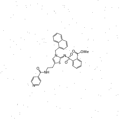 COC(=O)c1ccccc1S(=O)(=O)/N=c1\sc(CCNC(=O)c2ccncc2)cn1Cc1cccc2ccccc12